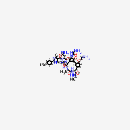 Cc1nc(-c2ccc(C(C)(C)C)cc2)nc(C)c1C(=O)N[C@@H](CCN)C(=O)N(C)[C@@H]1C(=O)N[C@@H](C)C(=O)N[C@H](C(=O)NCC#N)Cc2ccc(OCCN)c(c2)-c2cc1cc(NCCN)c2O